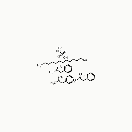 Br.CCCCCCCCCCC[CH2][Na].CN(C)Cc1ccccc1.CN(C)Cc1ccccc1.CN(C)Cc1ccccc1.O=S(=O)(O)O